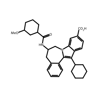 COC1CCCC(C(=O)NC2Cc3ccccc3-c3c(C4CCCCC4)c4ccc(C(=O)O)cc4n3C2)C1